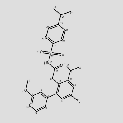 COc1cc(-c2cc(F)cc(C(C)C)c2CC(=O)NS(=O)(=O)c2ccc(C(C)C)cn2)ccn1